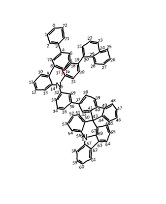 c1ccc(-c2cccc(-c3ccccc3N(c3ccc(-c4cccc5ccccc45)cc3)c3cccc(-c4ccc5c(c4)C4(c6ccccc6-5)c5ccccc5-n5c6ccccc6c6cccc4c65)c3)c2)cc1